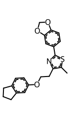 Cc1sc(-c2ccc3c(c2)OCO3)nc1CCOc1ccc2c(c1)CCC2